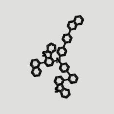 c1ccc(-c2cccc3sc4ccccc4c23)c(-c2ccc(N(c3ccc(-c4ccc(-c5ccc6ccccc6c5)cc4)cc3)c3ccc(-c4cccc5ccccc45)c4sc5ccccc5c34)cc2)c1